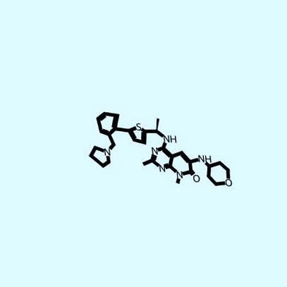 Cc1nc(N[C@H](C)c2ccc(-c3ccccc3CN3CCCC3)s2)c2cc(NC3CCOCC3)c(=O)n(C)c2n1